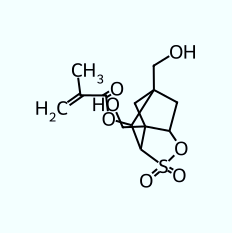 C=C(C)C(=O)OC1C2C3(CO)CC1(CO)CC3OS2(=O)=O